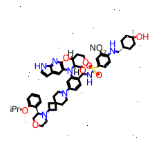 CC(C)Oc1ccccc1[C@@H]1COCCN1C1CC2(CCN(c3ccc(C(=O)NS(=O)(=O)c4ccc(NC[C@H]5CC[C@](C)(O)CC5)c([N+](=O)[O-])c4)c(N4c5cc6cc[nH]c6nc5O[C@@H]5CCOC[C@H]54)c3)CC2)C1